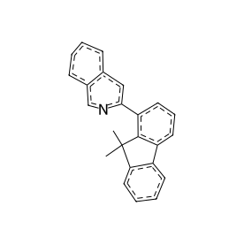 CC1(C)c2ccccc2-c2cccc(-c3cc4ccccc4cn3)c21